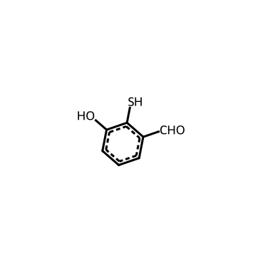 O=Cc1cccc(O)c1S